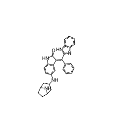 O=C1Nc2ccc(NC3CC4CCC(C3)N4)cc2/C1=C(\c1ccccc1)c1nc2ccccc2[nH]1